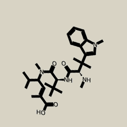 CN[C@H](C(=O)N[C@H](C(=O)N(C)C(/C=C(\C)C(=O)O)C(C)C)C(C)(C)C)C(C)(C)c1cn(C)c2ccccc12